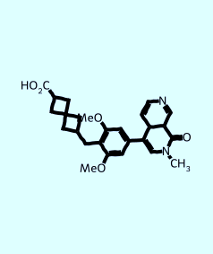 COc1cc(C2=CN(C)C(=O)C3C=NC=CC23)cc(OC)c1CC1CC2(C1)CC(C(=O)O)C2